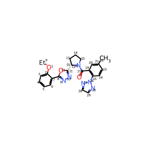 CCOc1ccccc1-c1nnc([C@@H]2CCCN2C(=O)c2cc(C)ccc2-n2nccn2)o1